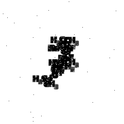 C=N/C(=N\C(=C(/C)F)c1cc(F)c2c(c1)N(C(C)CC)CC(C)(C)O2)Nc1ccc(OCCN(C)C)c(F)c1